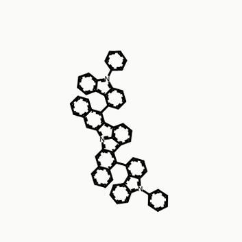 c1ccc(-n2c3ccccc3c3c(-c4c5ccccc5cc5c4c4cccc6c7c(-c8cccc9c8c8ccccc8n9-c8ccccc8)c8ccccc8cc7n5c46)cccc32)cc1